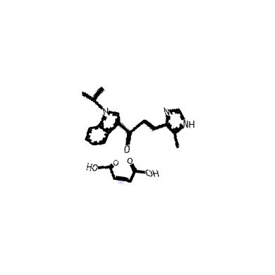 Cc1[nH]cnc1CCC(=O)c1cn(C(C)C)c2ccccc12.O=C(O)/C=C\C(=O)O